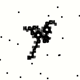 COc1ccc(-c2cnoc2-c2ccc(OC(C)C)cc2OCCCCCCBr)cc1